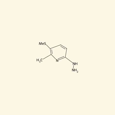 CSc1ccc(NN)nc1C